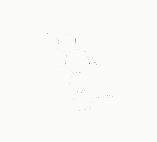 COc1cccc(CN2CC(=O)Nc3ccc(Cl)cc3C2C(F)(F)F)c1